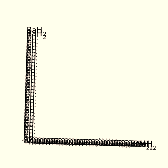 [BaH2].[BaH2].[BaH2].[BaH2].[BaH2].[Cu].[Cu].[Cu].[Cu].[Cu].[Cu].[Cu].[Cu].[Cu].[Cu].[Cu].[Cu].[Cu].[Cu].[Cu].[Cu].[Cu].[Cu].[Cu].[Cu].[Cu].[Cu].[Cu].[Cu].[Cu].[Cu].[Cu].[Cu].[Cu].[Cu].[Cu].[Cu].[Cu].[Cu].[Cu].[Cu].[Cu].[Cu].[Cu].[Cu].[Cu].[Cu].[Cu].[Cu].[Cu].[Cu].[Cu].[Cu].[Cu].[Cu].[Cu].[Cu].[Cu].[Cu].[Cu].[Cu].[Cu].[Cu].[Cu].[Cu].[Cu].[Cu].[Cu]